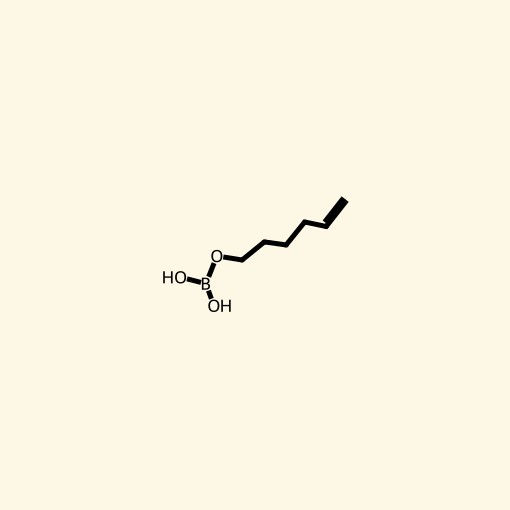 C=CCCCCOB(O)O